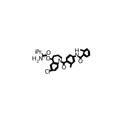 Cc1ccccc1C(=O)Nc1ccc(C(=O)N2CCCC(OC(=O)[C@@H](N)C(C)C)c3cc(Cl)ccc32)c(C)c1